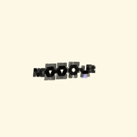 CC/C=C\C[C@H]1CC[C@H](c2ccc(-c3ccc(C#N)cc3)cc2)CC1